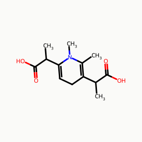 CC1=C(C(C)C(=O)O)CC=C(C(C)C(=O)O)N1C